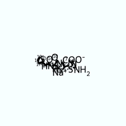 Nc1nnc(C2=C(C(=O)[O-])N3C(=O)C(NC(=O)Cc4cccs4)[C@@H]3SC2)s1.[Na+]